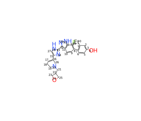 CCc1cc(O)ccc1-c1ccc2c(-c3nc(C4=CCCN(CC5COC5)C4)c[nH]3)n[nH]c2c1F